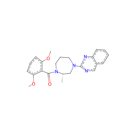 COc1cccc(OC)c1C(=O)N1CCCN(c2ncc3ccccc3n2)C[C@@H]1C